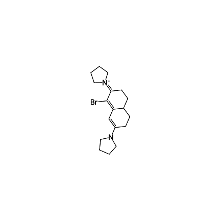 BrC1=C2C=C(N3CCCC3)CCC2CCC1=[N+]1CCCC1